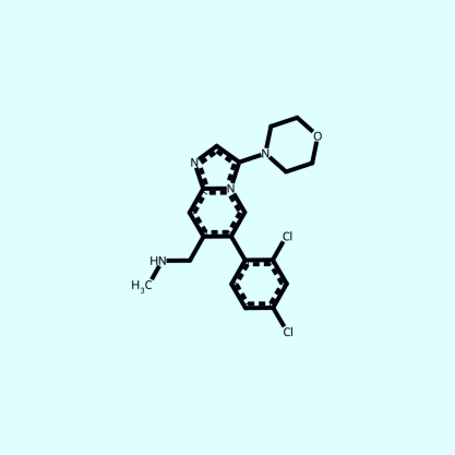 CNCc1cc2ncc(N3CCOCC3)n2cc1-c1ccc(Cl)cc1Cl